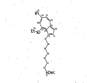 CCCCCCCCCCCCCCCCCc1ccc2ccc(C(C)C)cc(OCC)c1-2